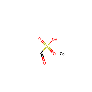 O=CS(=O)(=O)O.[Co]